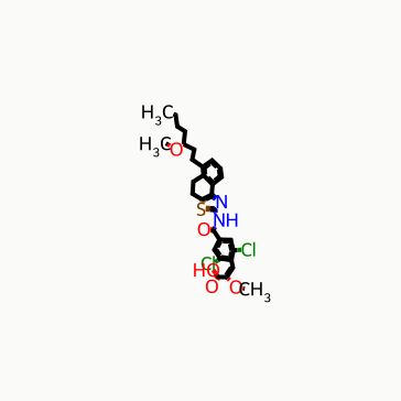 CCCCC(CCc1cccc2c1CCc1sc(NC(=O)c3cc(Cl)c(/C=C(/OC)C(=O)O)c(Cl)c3)nc1-2)OC